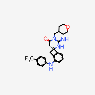 N=C1N[C@]2(CC(=O)N1CC1CCOCC1)Cc1c(Nc3ccc(C(F)(F)F)cc3)cccc12